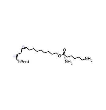 CCCCC/C=C\C/C=C\CCCCCCCCOC(=O)[C@@H](N)CCCCN